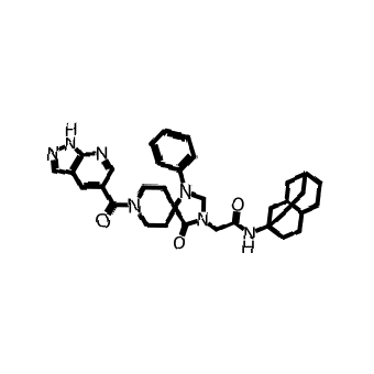 O=C(CN1CN(c2ccccc2)C2(CCN(C(=O)c3cnc4[nH]ncc4c3)CC2)C1=O)NC12CCC3CCC(CC3C1)C2